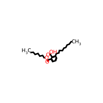 CCCCCCCCCCc1cccc(C(=O)OCCCCCCCC)c1C(=O)O